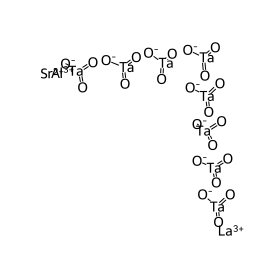 [Al+3].[La+3].[O]=[Ta](=[O])[O-].[O]=[Ta](=[O])[O-].[O]=[Ta](=[O])[O-].[O]=[Ta](=[O])[O-].[O]=[Ta](=[O])[O-].[O]=[Ta](=[O])[O-].[O]=[Ta](=[O])[O-].[O]=[Ta](=[O])[O-].[Sr+2]